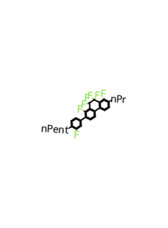 CCCCCc1ccc(-c2ccc3c(c2F)C(F)(F)C(F)(F)c2c-3ccc(CCC)c2F)cc1F